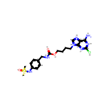 C[SH](C)(=O)Nc1ccc(CNC(=O)OCCCCn2cnc3c(N)nc(Cl)nc32)cc1